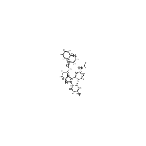 CCNc1nccc(-c2c(-c3ccc(F)cc3)nc3n2C(COc2ccnc4ccccc24)CC3)n1